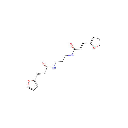 O=C(C=Cc1ccco1)NCCCNC(=O)C=Cc1ccco1